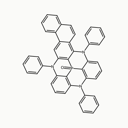 O=P12c3c4cccc3N(c3ccccc3)c3cc5c(ccc6ccccc65)c(c31)N(c1ccccc1)c1cccc(c12)N4c1ccccc1